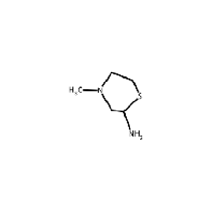 CN1CCSC(N)C1